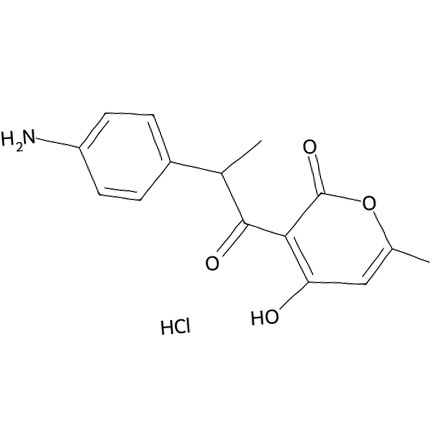 Cc1cc(O)c(C(=O)C(C)c2ccc(N)cc2)c(=O)o1.Cl